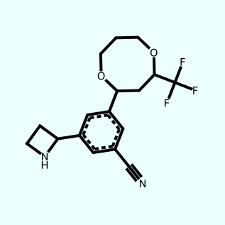 N#Cc1cc(C2CCN2)cc(C2CC(C(F)(F)F)OCCCO2)c1